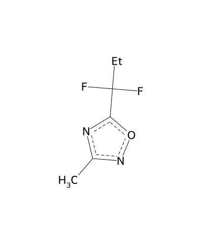 CCC(F)(F)c1nc(C)no1